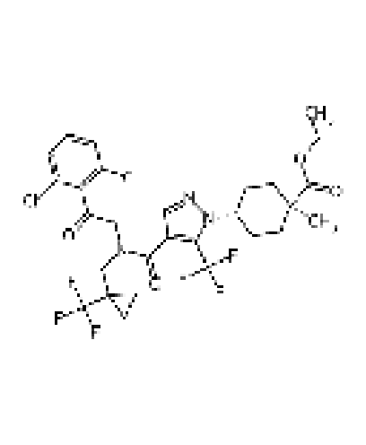 CCOC(=O)[C@]1(C)CC[C@@H](n2ncc(C(=O)N(CC(=O)c3c(Cl)cccc3Cl)CC3(C(F)(F)F)CC3)c2C(F)(F)F)CC1